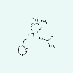 CC(=O)C#CCC1(C/C=C/c2ccccc2I)COC(C)(C)OC1